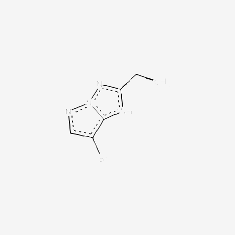 CCc1nn2ncc(Br)c2[nH]1